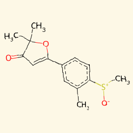 Cc1cc(C2=CC(=O)C(C)(C)O2)ccc1[S+](C)[O-]